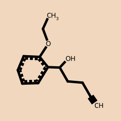 C#CCCC(O)c1ccccc1OCC